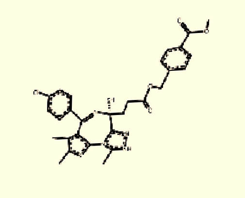 COC(=O)c1ccc(COC(=O)CC[C@]2(S)N=C(c3ccc(Cl)cc3)c3c(sc(C)c3C)-[n+]3c2n[nH]c3C)cc1